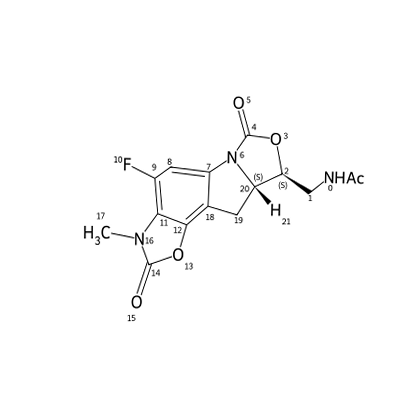 CC(=O)NC[C@@H]1OC(=O)N2c3cc(F)c4c(oc(=O)n4C)c3C[C@@H]12